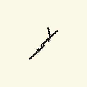 CCCCCCCCCCOC(=O)CCCN1CCN(CCCCCC(=O)OCC(CCCCCCCC)CCCCCCCC)CC1